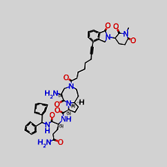 CN1C(=O)CCC(N2Cc3c(C#CCCCCCC(=O)N4CC[C@H]5CC[C@@H](C(=O)N[C@@H](CCC(N)=O)C(=O)NC(c6ccccc6)c6ccccc6)N5C(=O)[C@@H](N)C4)cccc3C2=O)C1=O